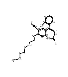 COCCCNCCOc1cc2c(cc1C#N)C(c1ccccc1Cl)=NCC(=S)N2